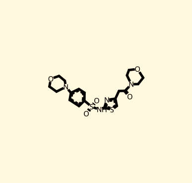 O=C(Cc1csc(NS(=O)(=O)c2ccc(N3CCOCC3)cc2)n1)N1CCOCC1